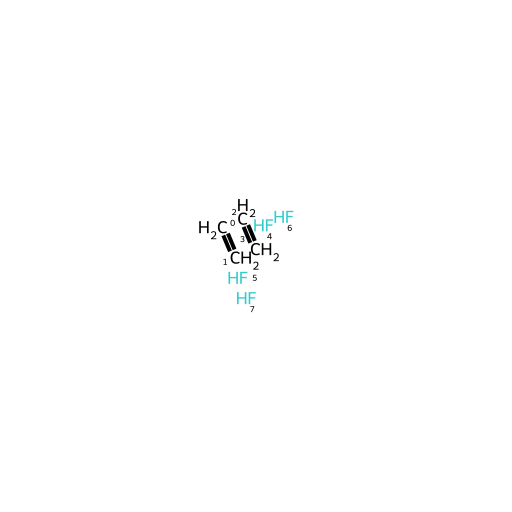 C=C.C=C.F.F.F.F